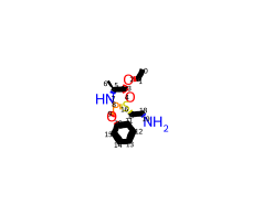 CCOC(=O)[C@H](C)N[P@@](Oc1ccccc1)SCCN